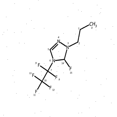 CCCN1N=CN(C(F)(F)C(F)(F)F)C1F